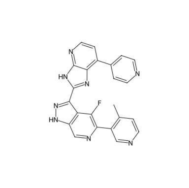 Cc1ccncc1-c1ncc2[nH]nc(-c3nc4c(-c5ccncc5)ccnc4[nH]3)c2c1F